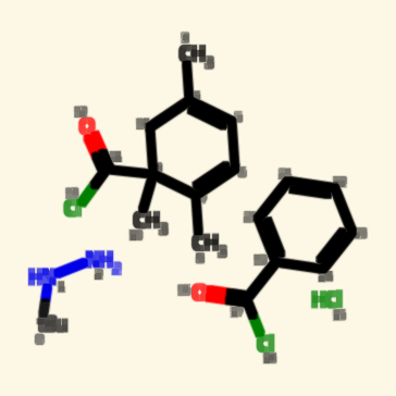 CC(C)(C)NN.CC1=CC=C(C)C(C)(C(=O)Cl)C1.Cl.O=C(Cl)c1ccccc1